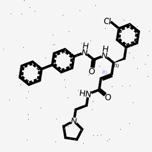 O=C(/C=C/[C@H](Cc1cccc(Cl)c1)NC(=O)Nc1ccc(-c2ccccc2)cc1)NCCN1CCCC1